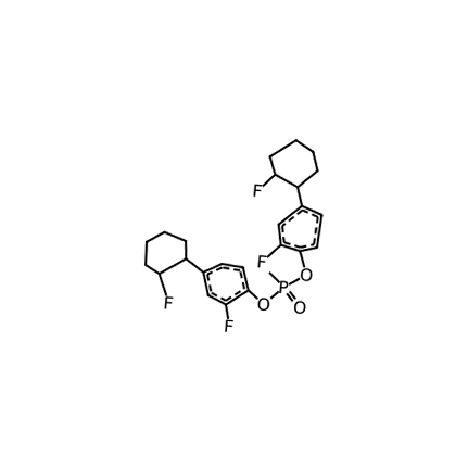 CP(=O)(Oc1ccc(C2CCCCC2F)cc1F)Oc1ccc(C2CCCCC2F)cc1F